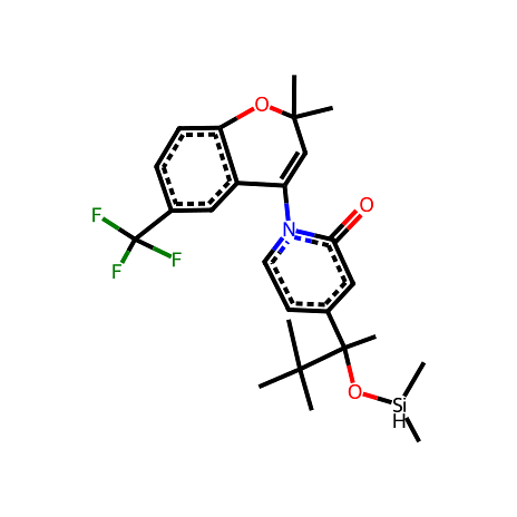 C[SiH](C)OC(C)(c1ccn(C2=CC(C)(C)Oc3ccc(C(F)(F)F)cc32)c(=O)c1)C(C)(C)C